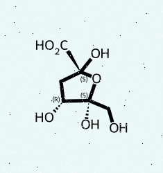 O=C(O)[C@]1(O)C[C@@H](O)[C@](O)(CO)O1